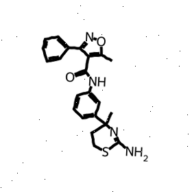 Cc1onc(-c2ccccc2)c1C(=O)Nc1cccc(C2(C)CCSC(N)=N2)c1